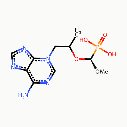 CO[C@@H](OC(C)Cn1cnc(N)c2ncnc1-2)P(=O)(O)O